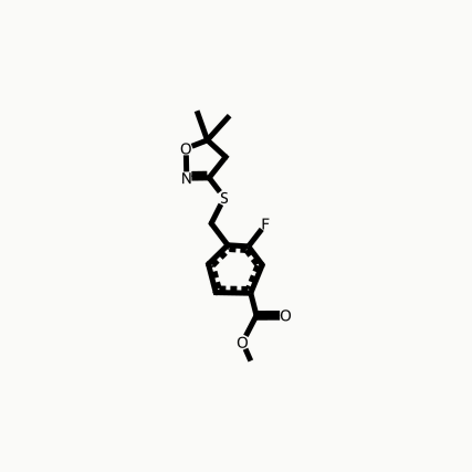 COC(=O)c1ccc(CSC2=NOC(C)(C)C2)c(F)c1